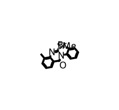 CSc1nc2c(C)cccc2c(=O)n1-c1ccccc1Br